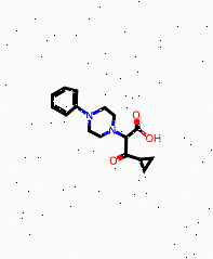 O=C(O)C(C(=O)C1CC1)N1CCN(c2ccccc2)CC1